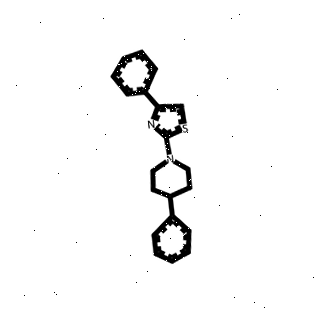 c1ccc(-c2csc(N3CCC(c4ccccc4)CC3)n2)cc1